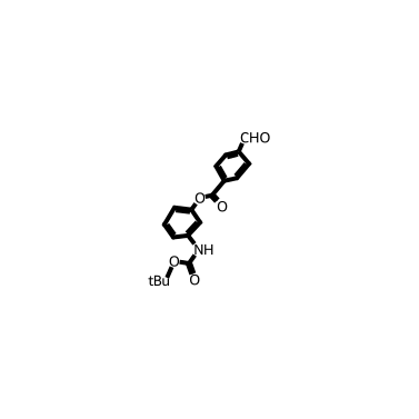 CC(C)(C)OC(=O)Nc1cccc(OC(=O)c2ccc(C=O)cc2)c1